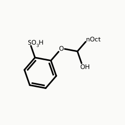 CCCCCCCCC(O)Oc1ccccc1S(=O)(=O)O